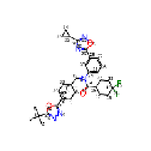 CC(C)(C)c1nnc(C23CCC(CN(C(=O)C4CCC(F)(F)CC4)c4cccc(-c5nc(C6CC6)no5)c4)(CC2)CC3)o1